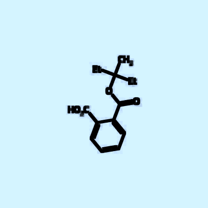 CCC(C)(CC)OC(=O)c1ccccc1C(=O)O